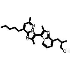 CCCCCc1cc(C)nn2c(-c3c(C)nc4c(CC(C)CO)cccn34)c(C)nc12